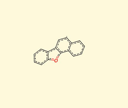 [c]1cc2c3ccccc3oc2c2ccccc12